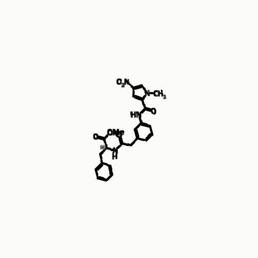 COC(=O)[C@H](Cc1ccccc1)NC(=O)Cc1cccc(NC(=O)c2cc([N+](=O)[O-])cn2C)c1